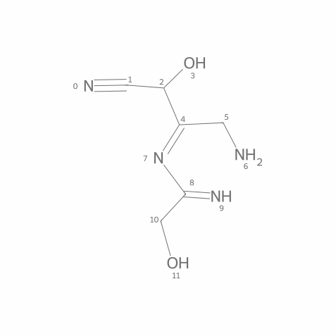 N#CC(O)C(CN)=NC(=N)CO